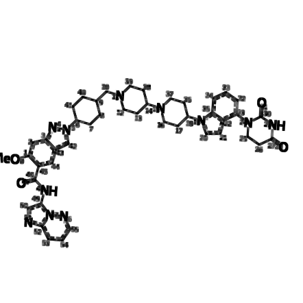 COc1cc2nn(C3CCC(CN4CCC(N5CCC(n6ccc7c(N8CCC(=O)NC8=O)cccc76)CC5)CC4)CC3)cc2cc1C(=O)Nc1cnc2cccnn12